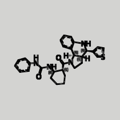 O=C(Nc1ccccc1)N[C@@H]1CCCC[C@@H]1C(=O)N1CC[C@H]2[C@H](c3ccsc3)Nc3ccccc3[C@@H]21